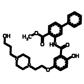 COC(=O)c1ccc(-c2ccccc2)cc1NC(=O)c1cc(OCCN2CCN(CCCO)CC2)ccc1O